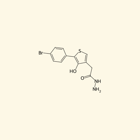 NNC(=O)Cc1csc(-c2ccc(Br)cc2)c1O